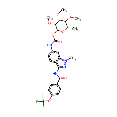 CO[C@@H]1[C@@H](OC)[C@H](C)O[C@@H](OC(=O)Nc2ccc3c(NC(=O)c4ccc(OC(F)(F)F)cc4)nn(C)c3c2)[C@@H]1OC